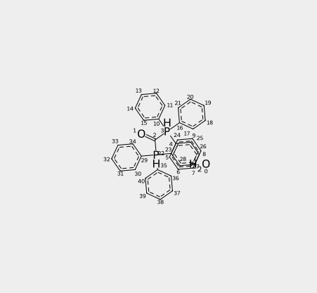 O.O=C([PH](c1ccccc1)(c1ccccc1)c1ccccc1)[PH](c1ccccc1)(c1ccccc1)c1ccccc1